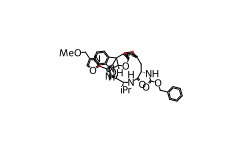 COCc1coc(-c2nc3oc2C24c5ccccc5N[C@H]2Oc2ccc(cc24)C[C@H](NC(=O)OCc2ccccc2)C(=O)N[C@H]3C(C)C)n1